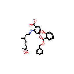 COC(=O)c1ccccc1N=CCC(C)CCCC(C)(C)O.O=C(OCc1ccccc1)c1ccccc1O